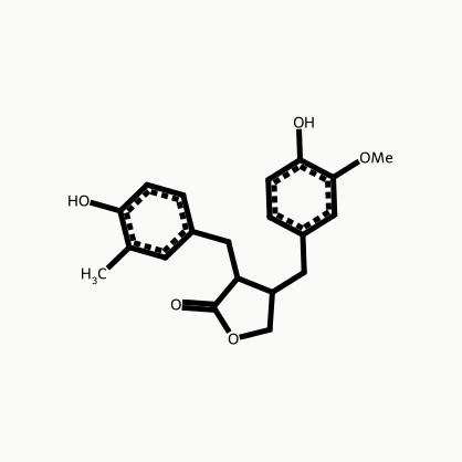 COc1cc(CC2COC(=O)C2Cc2ccc(O)c(C)c2)ccc1O